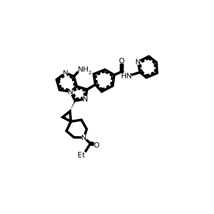 CCC(=O)N1CCC2(CC1)C[C@@H]2c1nc(-c2ccc(C(=O)Nc3ccccn3)cc2)c2c(N)nccn12